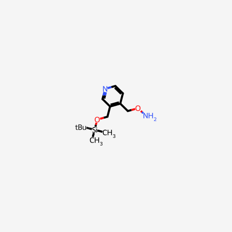 CC(C)(C)[Si](C)(C)OCc1cnccc1CON